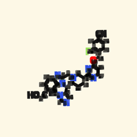 CCn1cncc1Cn1c(CN2CCC[C@H](c3nccc(OCc4ccc(C#N)cc4F)n3)C2)nc2ccc(C(=O)O)cc21